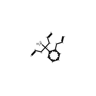 C=CCc1ccccc1C(N)(CC=C)CC=C